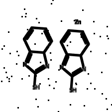 SC1=NC2C=CC=CC2=N1.SC1=NC2C=CC=CC2=N1.[Zn]